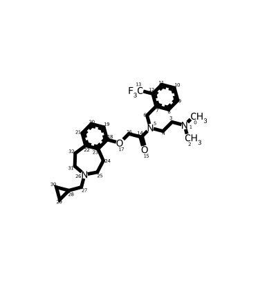 CN(C)CCN(Cc1ccccc1C(F)(F)F)C(=O)COc1cccc2c1CCN(CC1CC1)CC2